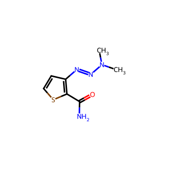 CN(C)/N=N/c1ccsc1C(N)=O